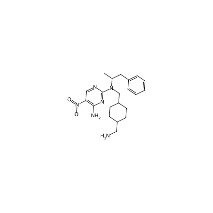 CC(Cc1ccccc1)N(CC1CCC(CN)CC1)c1ncc([N+](=O)[O-])c(N)n1